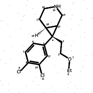 CCOCC[C@]1(c2ccc(Cl)c(Cl)c2)C2CNCC[C@@H]21